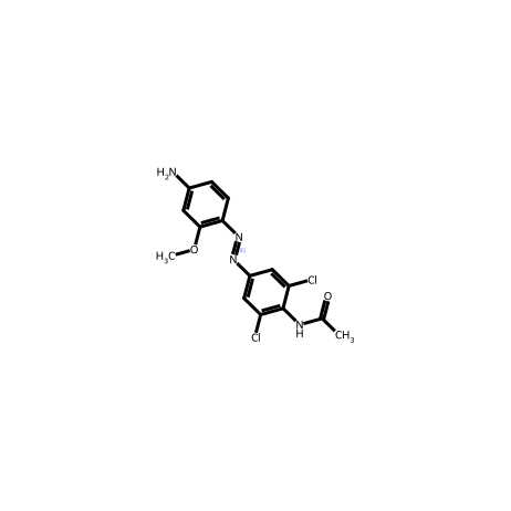 COc1cc(N)ccc1/N=N/c1cc(Cl)c(NC(C)=O)c(Cl)c1